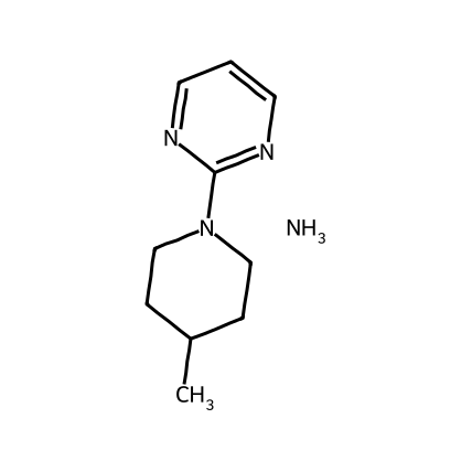 CC1CCN(c2ncccn2)CC1.N